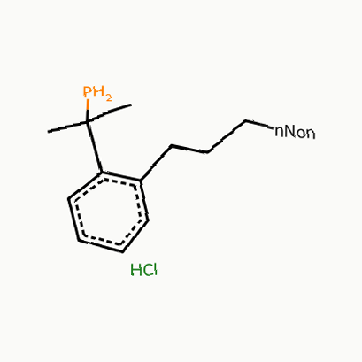 CCCCCCCCCCCCc1ccccc1C(C)(C)P.Cl